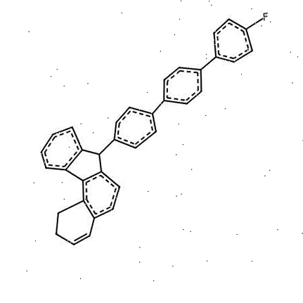 Fc1ccc(-c2ccc(-c3ccc(C4c5ccccc5-c5c4ccc4c5CCC=C4)cc3)cc2)cc1